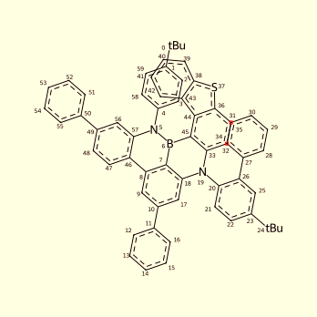 CC(C)(C)c1ccc(N2B3c4c(cc(-c5ccccc5)cc4N(c4ccc(C(C)(C)C)cc4-c4ccccc4)c4ccc5sc6ccccc6c5c43)-c3ccc(-c4ccccc4)cc32)cc1